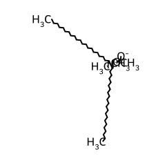 CC(=O)[O-].CCCCCCCCCCCCCCCCCCCCCC[N+](C)(C)CCCCCCCCCCCCCCCCCCCCCC